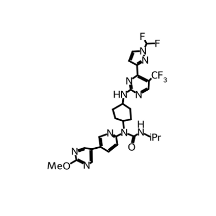 COc1ncc(-c2ccc(N(C(=O)NC(C)C)C3CCC(Nc4ncc(C(F)(F)F)c(-c5ccn(C(F)F)n5)n4)CC3)nc2)cn1